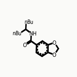 CCCCC(CCCC)NC(=O)c1ccc2c(c1)OCO2